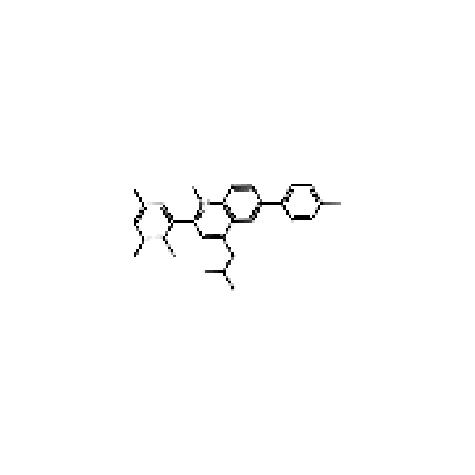 Cc1ccc(-c2ccc3c(c2)c(CC(C)C)cc(-c2cc(C)cc(C)c2C)[n+]3C)cc1